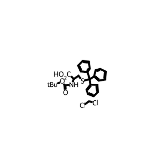 CC(C)(C)OC(=O)NC(CSC(c1ccccc1)(c1ccccc1)c1ccccc1)C(=O)O.ClCCl